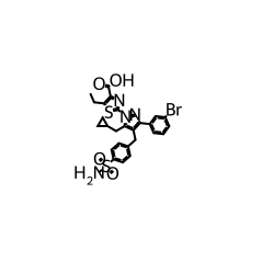 CCc1sc(-n2nc(-c3cccc(Br)c3)c(Cc3ccc(S(N)(=O)=O)cc3)c2CC2CC2)nc1C(=O)O